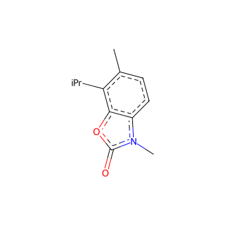 Cc1ccc2c(oc(=O)n2C)c1C(C)C